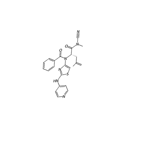 C=C(C)C[C@@H](C(=O)N(C)C#N)N(C(=O)c1ccccc1)c1csc(Nc2ccncc2)n1